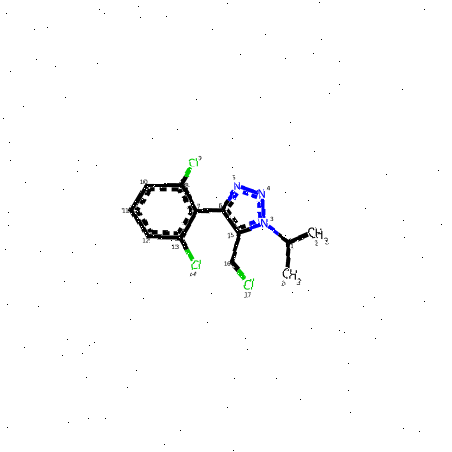 CC(C)n1nnc(-c2c(Cl)cccc2Cl)c1CCl